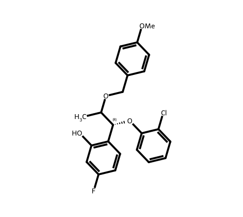 COc1ccc(COC(C)[C@H](Oc2ccccc2Cl)c2ccc(F)cc2O)cc1